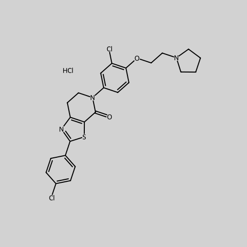 Cl.O=C1c2sc(-c3ccc(Cl)cc3)nc2CCN1c1ccc(OCCN2CCCC2)c(Cl)c1